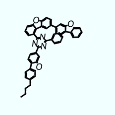 CCCCc1ccc2c(c1)oc1cc(-c3nc(-c4ccccc4)nc(-c4cccc5oc6ccc(-c7ccc8c(c7)oc7ccccc78)cc6c45)n3)ccc12